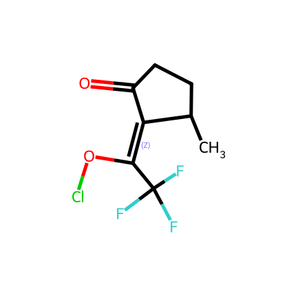 CC1CCC(=O)/C1=C(\OCl)C(F)(F)F